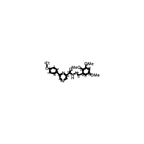 CCOc1ccc(-c2cncc(C(=O)N/N=C/c3cc(OC)cc(OC)c3OC)n2)cc1